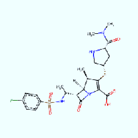 CC(NS(=O)(=O)c1ccc(F)cc1)[C@H]1C(=O)N2C(C(=O)O)=C(S[C@@H]3CN[C@H](C(=O)N(C)C)C3)[C@H](C)[C@H]12